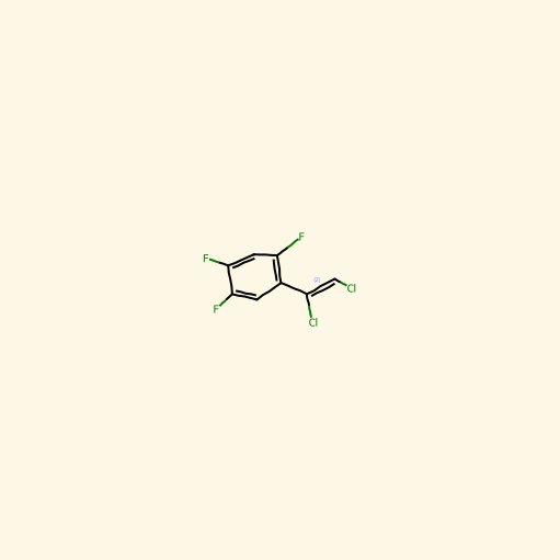 Fc1cc(F)c(/C(Cl)=C/Cl)cc1F